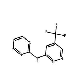 FC(F)(F)c1cnnc(Nc2ncccn2)c1